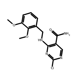 COc1cccc(CNc2nc(Cl)ncc2C(N)=O)c1OC